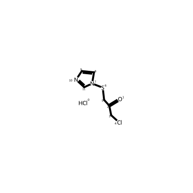 Cl.O=C(CCl)CSn1ccnc1